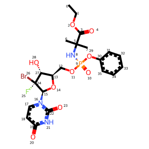 CCOC(=O)C(C)(C)N[P@](=O)(OC[C@H]1O[C@@H](n2ccc(=O)[nH]c2=O)[C@@](F)(Br)[C@@H]1O)Oc1ccccc1